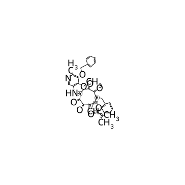 COc1c(N[C@H]2CC(=O)C(=O)[C@H](Cc3ccccc3)[C@H](OC(=O)C(C)C)[C@H](C)C(=O)C2=O)cnc(C)c1OCc1ccccc1